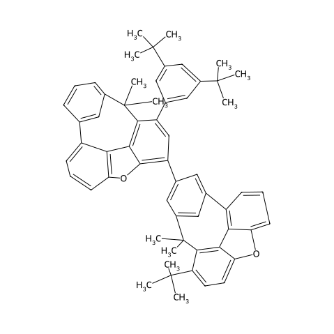 CC(C)(C)c1cc(-c2cc(-c3cc4cc(c3)C(C)(C)c3c(C(C)(C)C)ccc5oc6cccc-4c6c35)c3oc4cccc5c4c3c2C(C)(C)c2cccc-5c2)cc(C(C)(C)C)c1